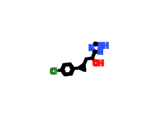 OC(CC1CC1c1ccc(Cl)cc1)c1nc[nH]n1